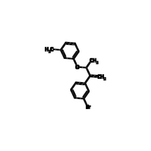 C=C(c1cccc(Br)c1)C(C)Oc1cccc(C)c1